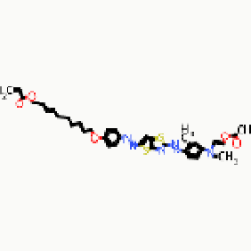 C=CC(=O)OCCCCCCCCCCOc1ccc(N=Nc2cc3sc(N=Nc4ccc(N(CC)CCOC(C)=O)cc4C)nc3s2)cc1